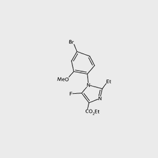 CCOC(=O)c1nc(CC)n(-c2ccc(Br)cc2OC)c1F